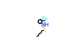 CCCCC[C@@H](C)SCNc1ccccc1C(F)(F)F